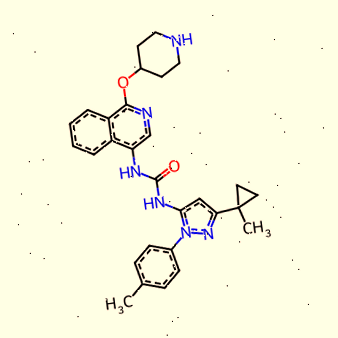 Cc1ccc(-n2nc(C3(C)CC3)cc2NC(=O)Nc2cnc(OC3CCNCC3)c3ccccc23)cc1